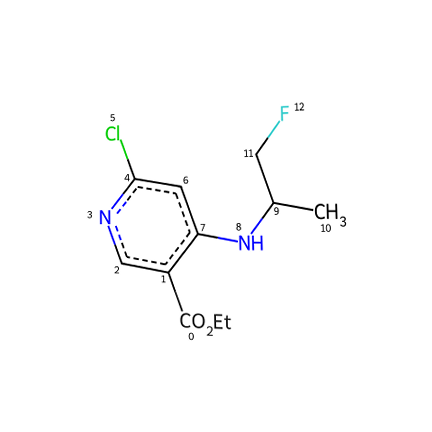 CCOC(=O)c1cnc(Cl)cc1NC(C)CF